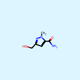 Cn1nc(CO)cc1C(N)=O